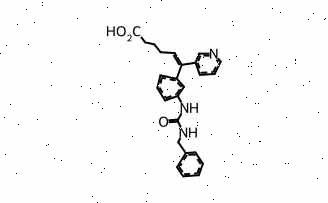 O=C(O)CCCC=C(c1cccnc1)c1cccc(NC(=O)NCc2ccccc2)c1